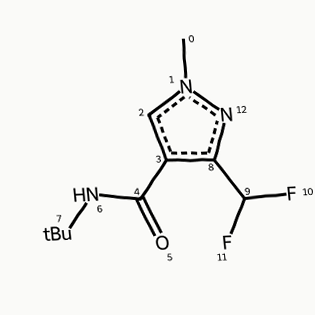 Cn1cc(C(=O)NC(C)(C)C)c(C(F)F)n1